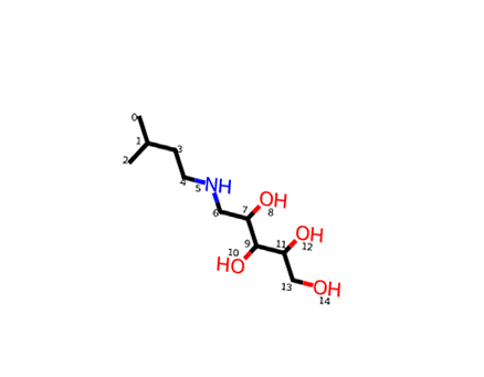 CC(C)CCNCC(O)C(O)C(O)CO